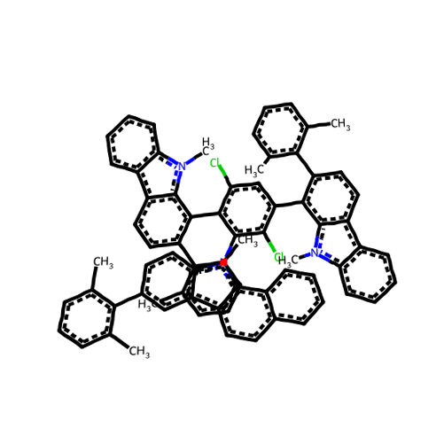 Cc1cccc(C)c1-c1ccc2c(c1)c1ccc3ccccc3c1n2-c1c(Cl)c(-c2c(-c3c(C)cccc3C)ccc3c4ccccc4n(C)c23)cc(Cl)c1-c1c(-c2c(C)cccc2C)ccc2c3ccccc3n(C)c12